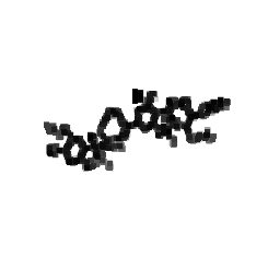 COC(=O)[C@@H](C)NC(=O)c1c(C)cc(-c2cccc(NS(=O)(=O)c3cc(C)c(Cl)cc3C)c2)cc1C